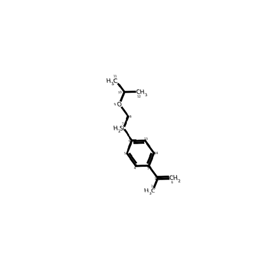 C=C(C)c1ccc([SiH2]COC(C)C)cc1